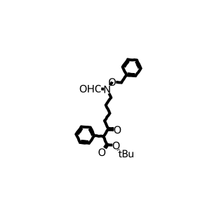 CC(C)(C)OC(=O)C(C(=O)CCCCN(C=O)OCc1ccccc1)c1ccccc1